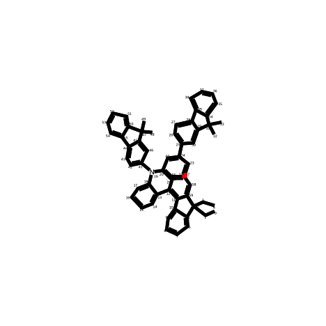 CCC1(CC)c2ccccc2-c2c(-c3ccccc3N(c3cccc(-c4ccc5c(c4)C(C)(C)c4ccccc4-5)c3)c3ccc4c(c3)C(C)(C)c3ccccc3-4)cccc21